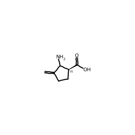 C=C1CC[C@H](C(=O)O)C1N